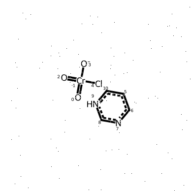 [O]=[Cr](=[O])([O-])[Cl].c1cnc[nH+]c1